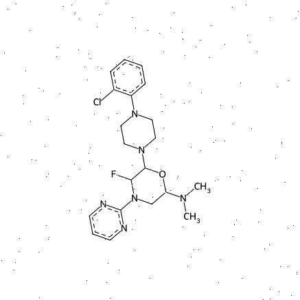 CN(C)C1CN(c2ncccn2)C(F)C(N2CCN(c3ccccc3Cl)CC2)O1